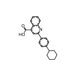 O=C(O)c1cc(-c2ccc(C3CCCCC3)cc2)nc2ccccc12